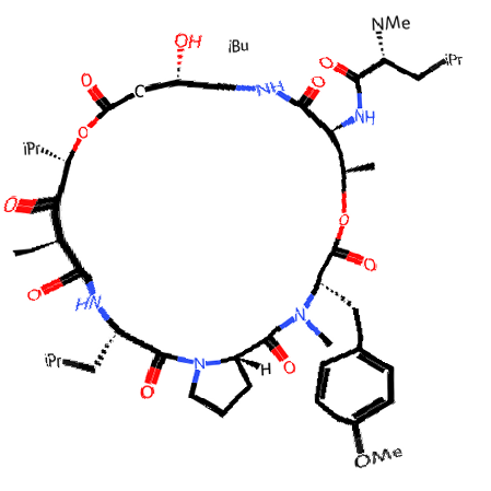 CC[C@H](C)C1NC(=O)[C@@H](NC(=O)[C@@H](CC(C)C)NC)[C@@H](C)OC(=O)[C@H](Cc2ccc(OC)cc2)N(C)C(=O)[C@@H]2CCCN2C(=O)[C@H](CC(C)C)NC(=O)[C@@H](C)C(=O)[C@H](C(C)C)OC(=O)C[C@@H]1O